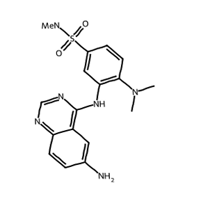 CNS(=O)(=O)c1ccc(N(C)C)c(Nc2ncnc3ccc(N)cc23)c1